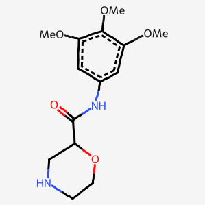 COc1cc(NC(=O)C2CNCCO2)cc(OC)c1OC